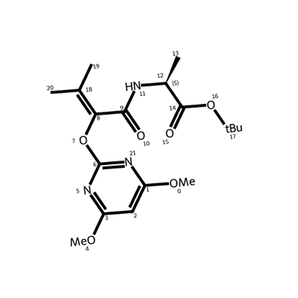 COc1cc(OC)nc(OC(C(=O)N[C@@H](C)C(=O)OC(C)(C)C)=C(C)C)n1